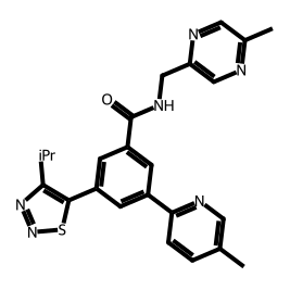 Cc1ccc(-c2cc(C(=O)NCc3cnc(C)cn3)cc(-c3snnc3C(C)C)c2)nc1